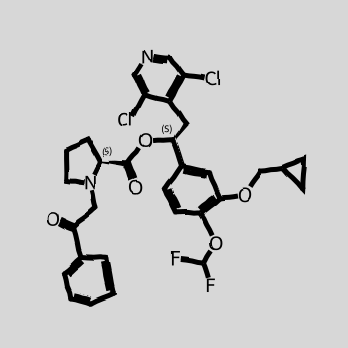 O=C(CN1CCC[C@H]1C(=O)O[C@@H](Cc1c(Cl)cncc1Cl)c1ccc(OC(F)F)c(OCC2CC2)c1)c1ccccc1